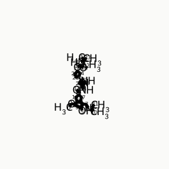 COc1cc(O)c(/C=N/C(C)C)c2c1C[C@@H](C(=O)Nc1cc([C@H]3CC[C@@H](OC(=O)NC(C)(C)C)C3)[nH]n1)C2